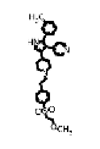 COCCS(=O)(=O)c1ccc(CCN2CC=C(c3c[nH]c(-c4cccc(C)c4)c3-c3ccncc3)CC2)cc1